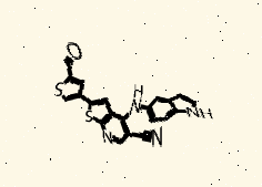 N#Cc1cnc2sc(-c3csc(C=O)c3)cc2c1Nc1ccc2[nH]ccc2c1